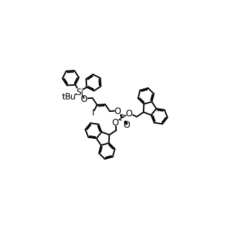 CC(C)(C)[Si](OCC(I)=CCOP(=O)(OCC1c2ccccc2-c2ccccc21)OCC1c2ccccc2-c2ccccc21)(c1ccccc1)c1ccccc1